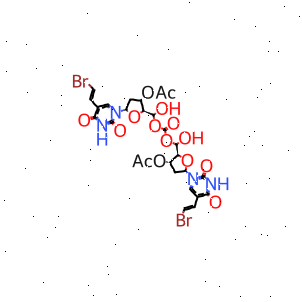 CC(=O)O[C@H]1C[C@H](n2cc(C=CBr)c(=O)[nH]c2=O)O[C@@H]1C(O)OC(=O)OC(O)[C@H]1O[C@@H](n2cc(C=CBr)c(=O)[nH]c2=O)C[C@@H]1OC(C)=O